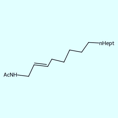 CCCCCCCCCCCC/C=C/CNC(C)=O